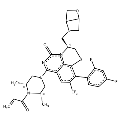 C=CC(=O)N1[C@H](C)CN(c2nc(=O)n3c4c(c(-c5ccc(F)cc5F)c(C(F)(F)F)cc24)SC[C@@H]3CN2CC3OCC32)C[C@@H]1C